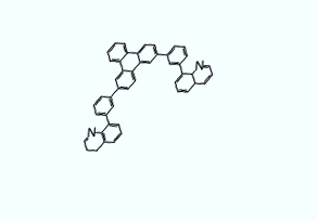 C1=CC2C=CC=C(c3cccc(-c4ccc5c6ccccc6c6cc(-c7cccc(-c8cccc9c8N=CCC9)c7)ccc6c5c4)c3)C2N=C1